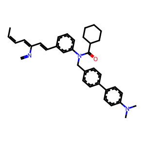 C=NC(=C\C=C/C)/C=C/c1cccc(N(Cc2ccc(-c3ccc(N(C)C)cc3)cc2)C(=O)C2CCCCC2)c1